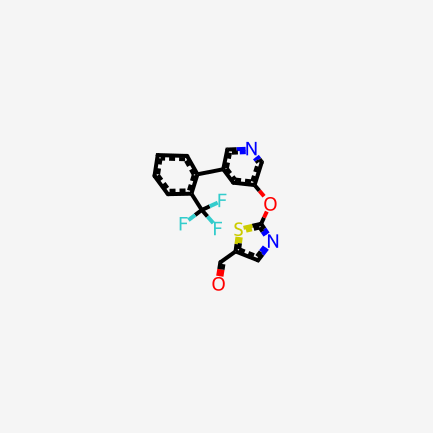 O=Cc1cnc(Oc2cncc(-c3ccccc3C(F)(F)F)c2)s1